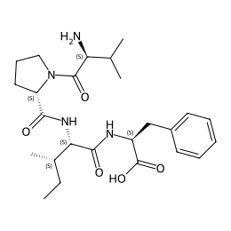 CC[C@H](C)[C@H](NC(=O)[C@@H]1CCCN1C(=O)[C@@H](N)C(C)C)C(=O)N[C@@H](Cc1ccccc1)C(=O)O